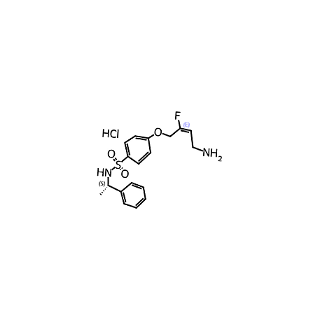 C[C@H](NS(=O)(=O)c1ccc(OC/C(F)=C\CN)cc1)c1ccccc1.Cl